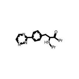 CC(C)NC(Cc1ccc(-c2nccnn2)cc1)C(=O)C(C)C